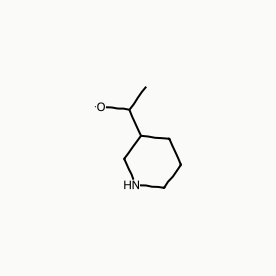 CC([O])C1CCCNC1